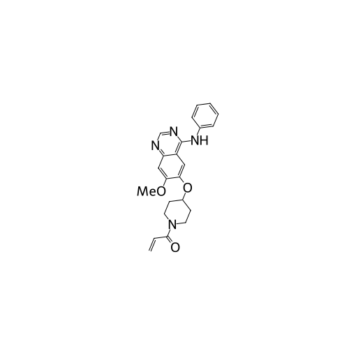 C=CC(=O)N1CCC(Oc2cc3c(Nc4ccccc4)ncnc3cc2OC)CC1